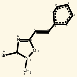 CN1OC(C=Cc2ccccc2)=NC1Br